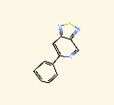 c1ccc(-c2cc3nsnc3cn2)cc1